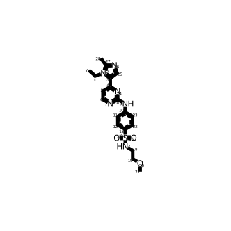 CCn1c(-c2ccnc(Nc3ccc(S(=O)(=O)NCCOC)cc3)n2)cnc1C